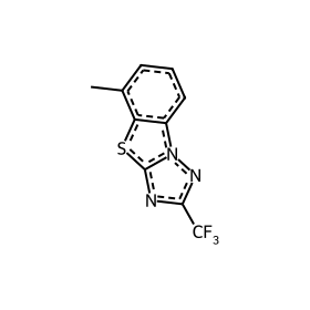 Cc1cccc2c1sc1nc(C(F)(F)F)nn12